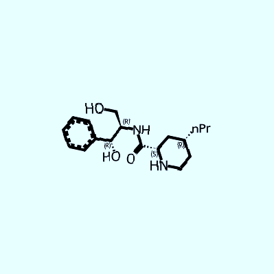 CCC[C@@H]1CCN[C@H](C(=O)N[C@H](CO)[C@H](O)c2ccccc2)C1